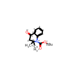 CC(C)(C)OC(=O)N1c2ccccc2C(=O)CC1(C)C